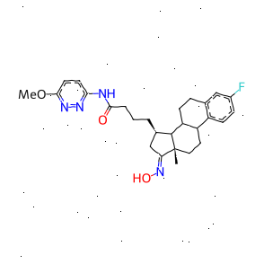 COc1ccc(NC(=O)CCC[C@@H]2C/C(=N\O)[C@@]3(C)CCC4c5ccc(F)cc5CCC4C23)nn1